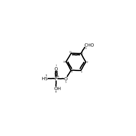 O=Cc1ccc(OP(=O)(O)S)cc1